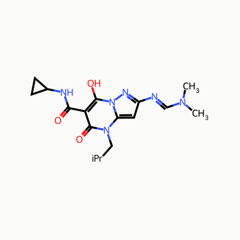 CC(C)Cn1c(=O)c(C(=O)NC2CC2)c(O)n2nc(N=CN(C)C)cc12